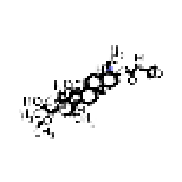 C/C=C1\C(OC(=O)NC2COC2)CCC23CC24CCC2(C)[C@@H]5[C@H](O[C@@H]([C@H](OCC)C(C)(C)O)C[C@H]5C)[C@H](O)[C@@]2(C)C4CC[C@@H]13